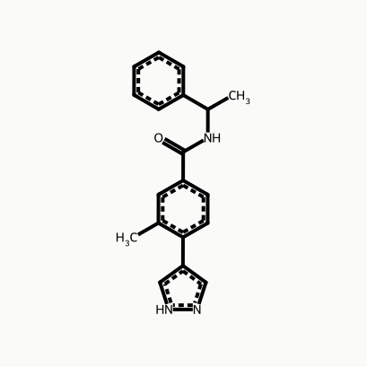 Cc1cc(C(=O)NC(C)c2ccccc2)ccc1-c1cn[nH]c1